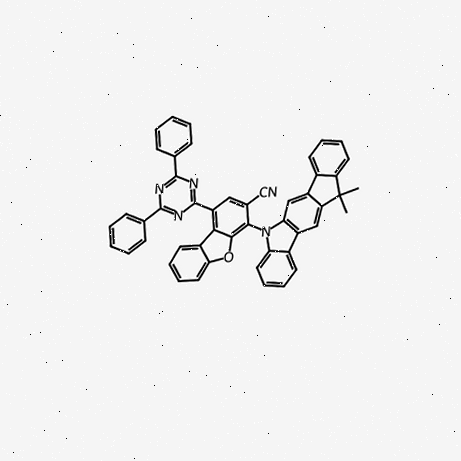 CC1(C)c2ccccc2-c2cc3c(cc21)c1ccccc1n3-c1c(C#N)cc(-c2nc(-c3ccccc3)nc(-c3ccccc3)n2)c2c1oc1ccccc12